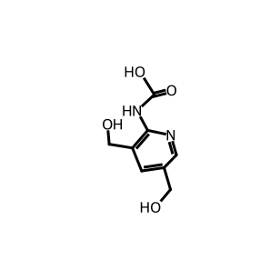 O=C(O)Nc1ncc(CO)cc1CO